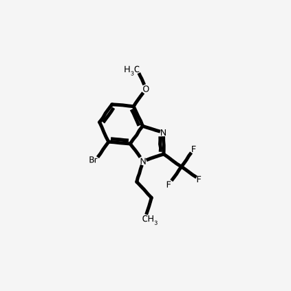 CCCn1c(C(F)(F)F)nc2c(OC)ccc(Br)c21